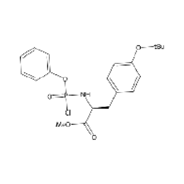 COC(=O)[C@H](Cc1ccc(OC(C)(C)C)cc1)NP(=O)(Cl)Oc1ccccc1